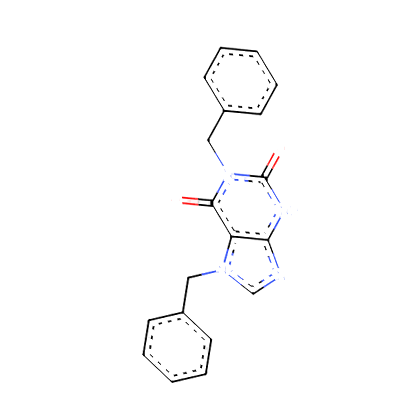 O=c1[nH]c2ncn(Cc3ccccc3)c2c(=O)n1Cc1ccccc1